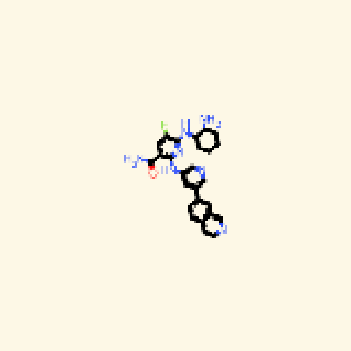 NC(=O)c1cc(F)c(NC2CCCC[C@@H]2N)nc1Nc1cncc(-c2ccc3ccncc3c2)c1